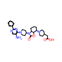 Nc1cnc(-c2ccccc2)nc1N1CCC(N2C(=O)OC3C(N4CCC(CC(=O)O)CC4)CCCC32)CC1